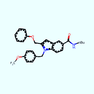 CCCCNC(=O)c1ccc2c(c1)cc(COc1ccccc1)n2Cc1ccc(OC(F)(F)F)cc1